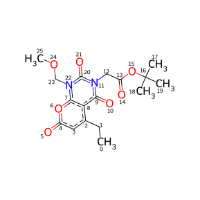 CCc1cc(=O)oc2c1c(=O)n(CC(=O)OC(C)(C)C)c(=O)n2COC